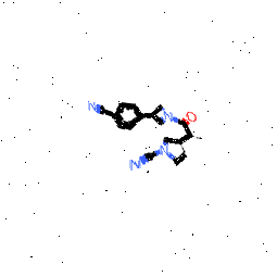 C[C@@H](C(=O)N1CC(c2ccc(C#N)cc2)C1)[C@@H]1CCN(C#N)C1